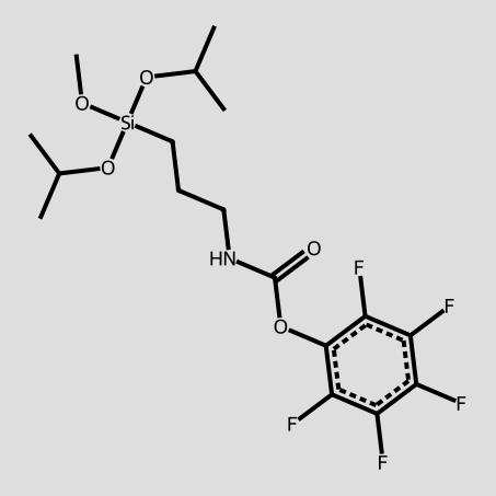 CO[Si](CCCNC(=O)Oc1c(F)c(F)c(F)c(F)c1F)(OC(C)C)OC(C)C